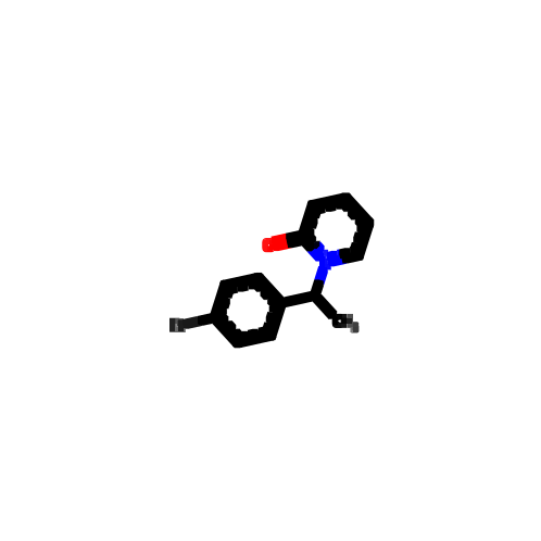 CCc1ccc(C(C)n2ccccc2=O)cc1